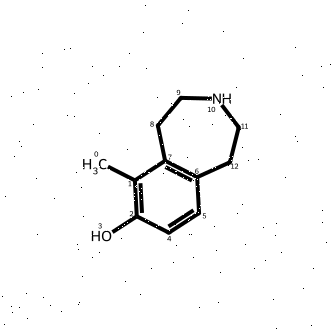 Cc1c(O)ccc2c1CCNCC2